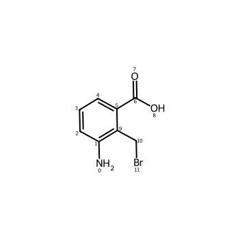 Nc1cccc(C(=O)O)c1CBr